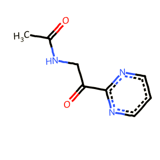 CC(=O)NCC(=O)c1ncccn1